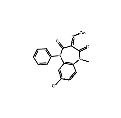 Cn1c(=O)/c(=N\O)c(=O)n(-c2ccccc2)c2cc(Cl)ccc21